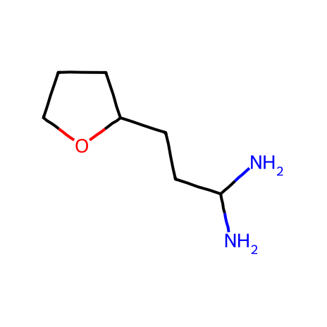 NC(N)CCC1CCCO1